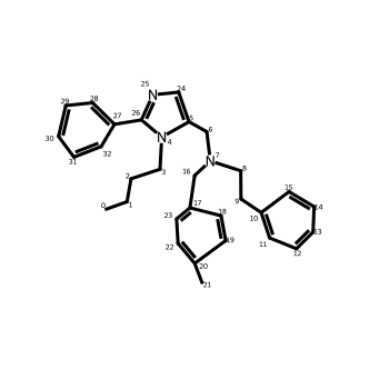 CCCCn1c(CN(CCc2ccccc2)Cc2ccc(C)cc2)cnc1-c1ccccc1